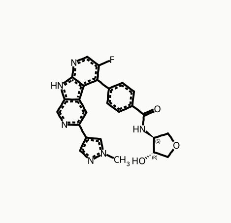 Cn1cc(-c2cc3c(cn2)[nH]c2ncc(F)c(-c4ccc(C(=O)N[C@H]5COC[C@@H]5O)cc4)c23)cn1